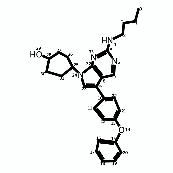 CCCCNc1ncc2c(-c3ccc(Oc4ccccc4)cc3)cn(C3CCC(O)CC3)c2n1